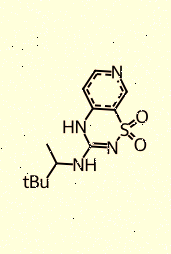 CC(NC1=NS(=O)(=O)c2cnccc2N1)C(C)(C)C